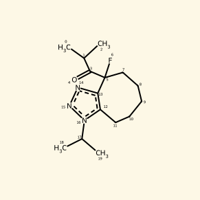 CC(C)C(=O)C1(F)CCCCCc2c1nnn2C(C)C